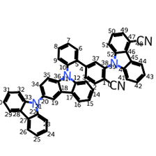 N#Cc1ccc(-c2ccccc2-n2c3ccccc3c3cc(-n4c5ccccc5c5ccccc54)ccc32)cc1-n1c2ccccc2c2c(C#N)cccc21